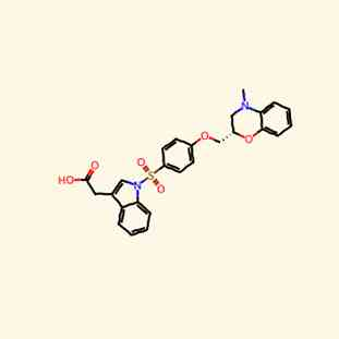 CN1C[C@@H](COc2ccc(S(=O)(=O)n3cc(CC(=O)O)c4ccccc43)cc2)Oc2ccccc21